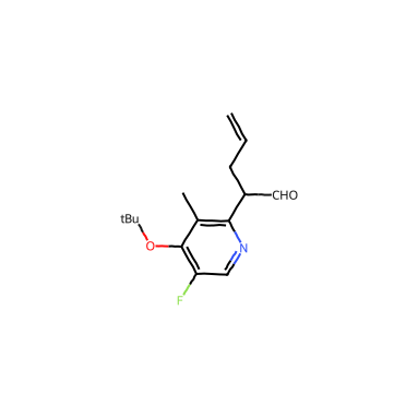 C=CCC(C=O)c1ncc(F)c(OC(C)(C)C)c1C